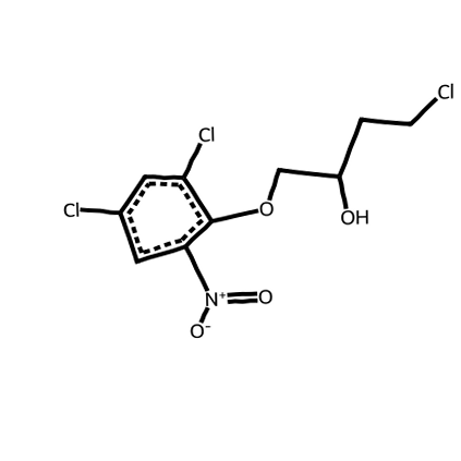 O=[N+]([O-])c1cc(Cl)cc(Cl)c1OCC(O)CCCl